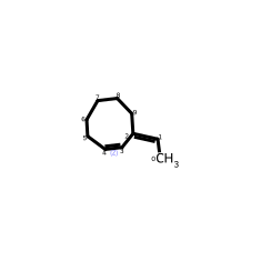 CC=C1/C=C\CCCCC1